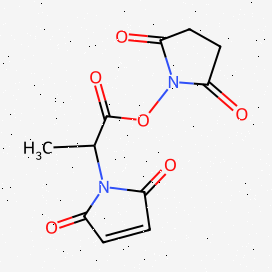 CC(C(=O)ON1C(=O)CCC1=O)N1C(=O)C=CC1=O